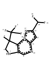 CC1(C(F)(F)F)CNc2cnc3cc(C(F)F)nn3c21